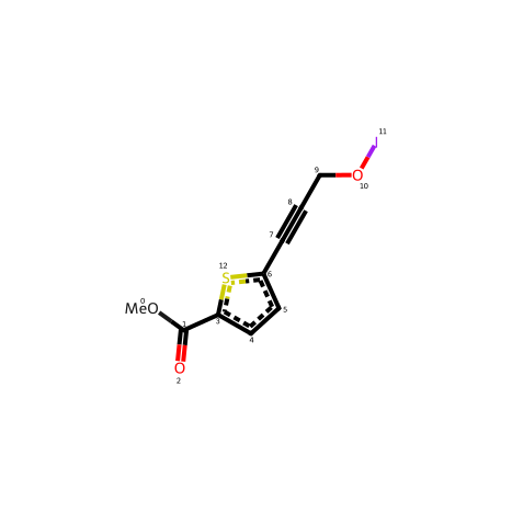 COC(=O)c1ccc(C#CCOI)s1